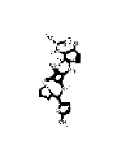 Cc1ccc(C(Nc2c(Nc3ccc(Cl)c([S+]([O-])N(C)C)c3O)c(=O)c2=O)C2CCCS2)o1